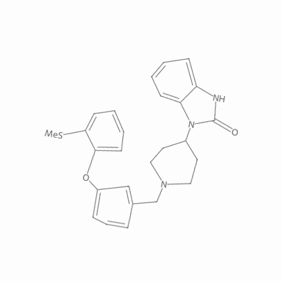 CSc1ccccc1Oc1cccc(CN2CCC(n3c(=O)[nH]c4ccccc43)CC2)c1